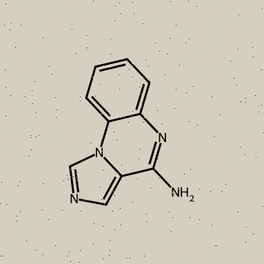 Nc1nc2ccccc2n2cncc12